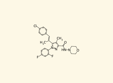 C/C(=C\c1ccc(Cl)cc1)c1c(C)c(C(=O)NN2CCOCC2)nn1-c1ccc(F)cc1F